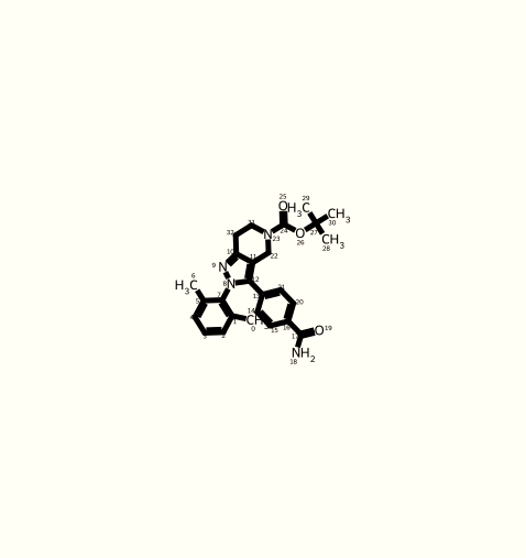 Cc1cccc(C)c1-n1nc2c(c1-c1ccc(C(N)=O)cc1)CN(C(=O)OC(C)(C)C)CC2